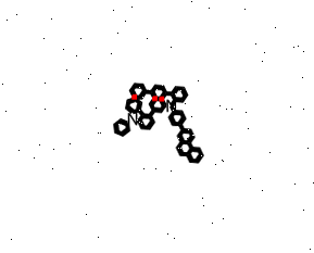 c1ccc(-c2ccc(-c3ccccc3N(c3ccc(-c4ccc5c(ccc6ccccc65)c4)cc3)c3cccc(-c4cccc5c4c4ccccc4n5-c4ccccc4)c3)cc2)cc1